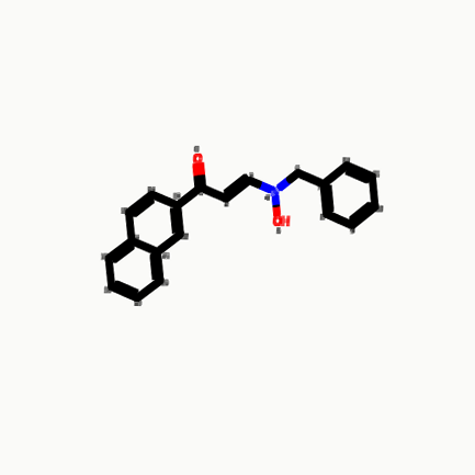 O=C(C=CN(O)Cc1ccccc1)c1ccc2ccccc2c1